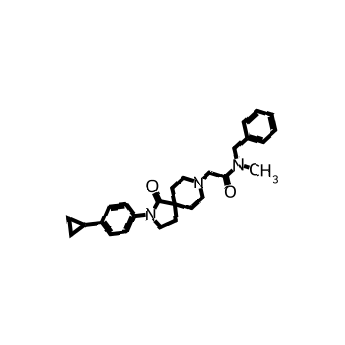 CN(Cc1ccccc1)C(=O)CN1CCC2(CC1)CCN(c1ccc(C3CC3)cc1)C2=O